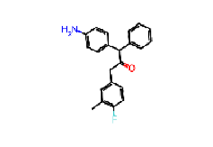 Cc1cc(CC(=O)C(c2ccccc2)c2ccc(N)cc2)ccc1F